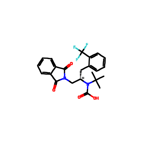 CC(C)(C)N(C(=O)O)[C@@H](Cc1ccccc1C(F)(F)F)CN1C(=O)c2ccccc2C1=O